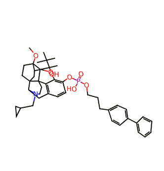 COC12CCC3(CC1C(C)(O)C(C)(C)C)C1Cc4ccc(OP(=O)(O)OCCCc5ccc(-c6ccccc6)cc5)c5c4C3(CCN1CC1CC1)C2O5